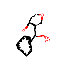 O=C1CCOC[C@H]1[C@@H](O)c1ccccc1